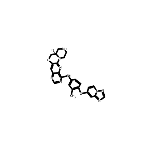 Cc1cc(Nc2ncnc3cc4c(nc23)N2CCNC[C@@H]2CO4)ccc1Oc1ccn2ncnc2c1